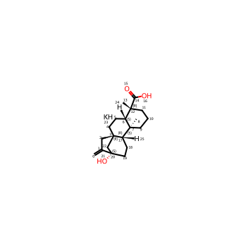 C=C1C[C@@]23CC[C@H]4[C@@](C)(CCC[C@@]4(C)C(=O)O)[C@@H]2CC[C@]1(O)C3.[KH]